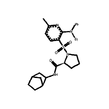 CCN(c1nc(C)ccc1S(=O)(=O)N1CCC[C@H]1C(=O)NC1CC2CCC1C2)C(C)C